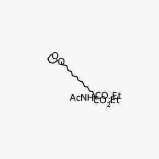 CCOC(=O)C(CCCCCCCCCCCCOC1CCCCO1)(NC(C)=O)C(=O)OCC